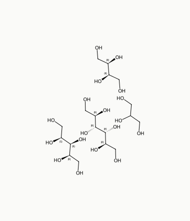 OCC(O)CO.OC[C@@H](O)[C@@H](O)[C@H](O)[C@H](O)CO.OC[C@@H](O)[C@H](O)CO.OC[C@@H](O)[C@H](O)[C@@H](O)CO